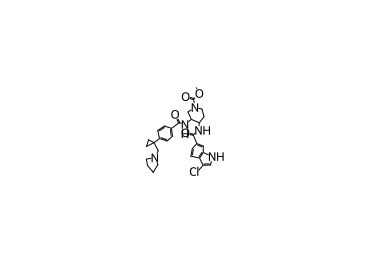 COC(=O)N1CCC(NC(=O)c2ccc3c(Cl)c[nH]c3c2)C(NC(=O)c2ccc(C3(CN4CCCC4)CC3)cc2)C1